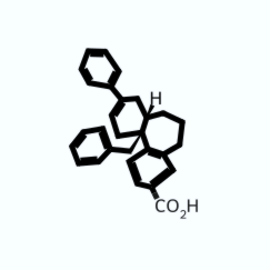 O=C(O)c1ccc2c(c1)CCC[C@H]1CC(c3ccccc3)=CC[C@@]21Cc1ccccc1